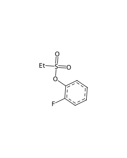 CCS(=O)(=O)Oc1ccccc1F